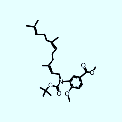 COC(=O)c1ccc(OC)c(N(CC=C(C)CCC=C(C)CCC=C(C)C)C(=O)OC(C)(C)C)c1